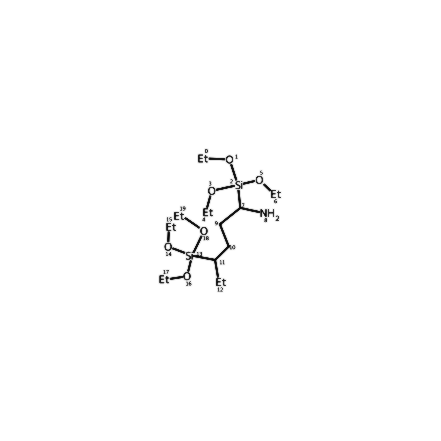 CCO[Si](OCC)(OCC)C(N)CCC(CC)[Si](OCC)(OCC)OCC